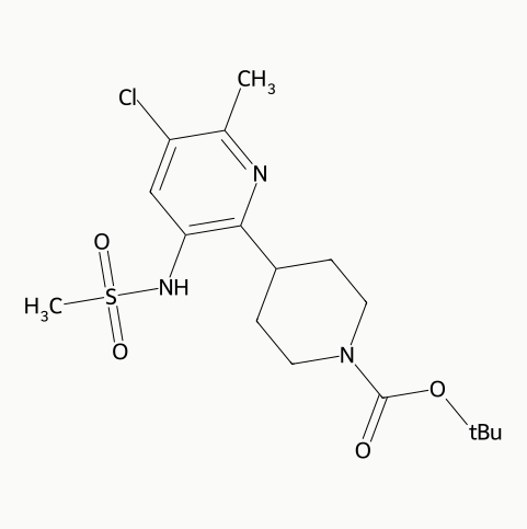 Cc1nc(C2CCN(C(=O)OC(C)(C)C)CC2)c(NS(C)(=O)=O)cc1Cl